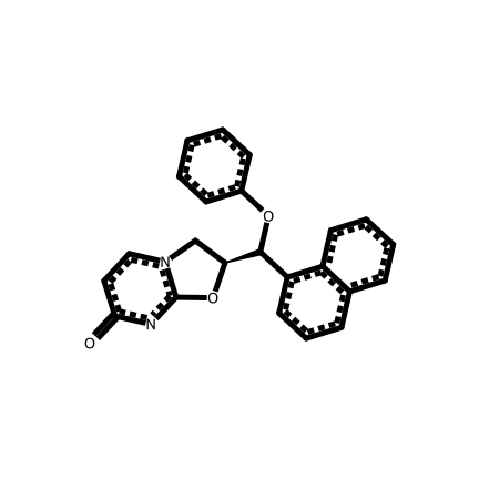 O=c1ccn2c(n1)O[C@H](C(Oc1ccccc1)c1cccc3ccccc13)C2